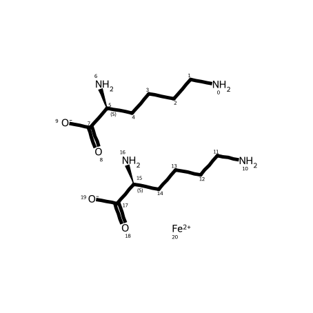 NCCCC[C@H](N)C(=O)[O-].NCCCC[C@H](N)C(=O)[O-].[Fe+2]